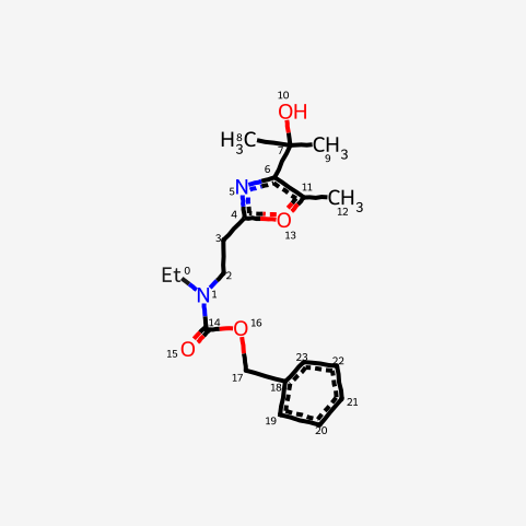 CCN(CCc1nc(C(C)(C)O)c(C)o1)C(=O)OCc1ccccc1